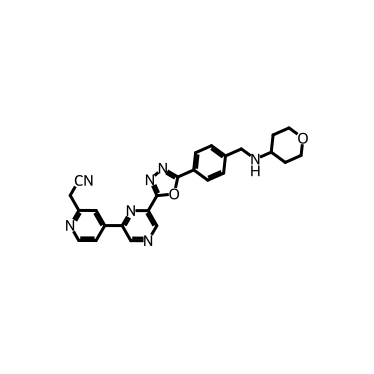 N#CCc1cc(-c2cncc(-c3nnc(-c4ccc(CNC5CCOCC5)cc4)o3)n2)ccn1